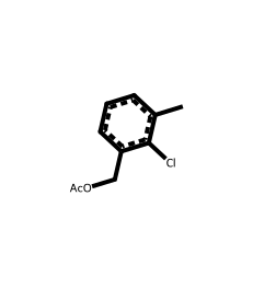 CC(=O)OCc1cccc(C)c1Cl